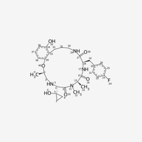 C[C@@H]1CN[C@@H](C2(O)CC2)C(=O)N(C)[C@H](C)C(=O)N[C@H](Cc2ccc(F)cc2)C(=O)NCCCc2c(O)cccc2O1